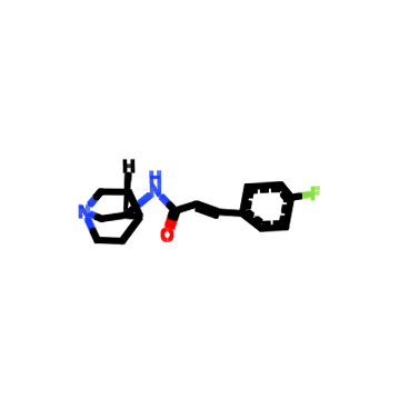 O=C(C=Cc1ccc(F)cc1)N[C@H]1CN2CCC1CC2